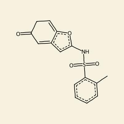 Cc1ccccc1S(=O)(=O)Nc1cc2c(o1)=CCC(=O)C=2